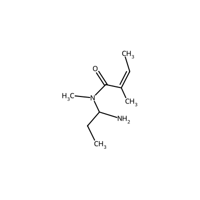 CC=C(C)C(=O)N(C)C(N)CC